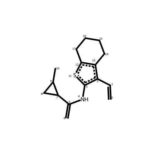 C=Cc1c(NC(=C)C2CC2C)sc2c1CCCC2